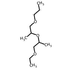 C[CH][CH]OCC(C)OC(C)COCC